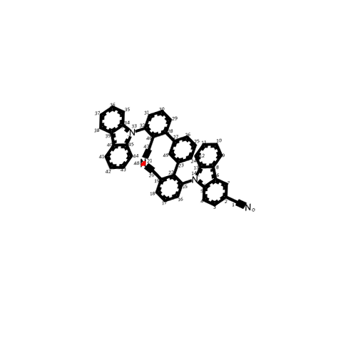 N#Cc1ccc2c(c1)c1ccccc1n2-c1cccc(C#N)c1-c1cccc(-c2cccc(-n3c4ccccc4c4ccccc43)c2C#N)c1